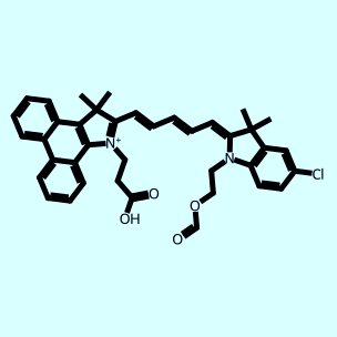 CC1(C)C(/C=C/C=C/C=C2\N(CCOC=O)c3ccc(Cl)cc3C2(C)C)=[N+](CCC(=O)O)c2c1c1ccccc1c1ccccc21